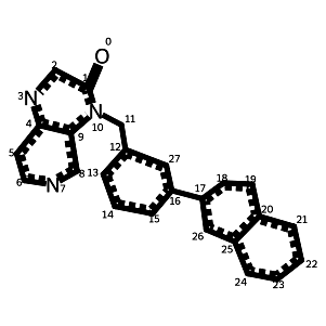 O=c1cnc2ccncc2n1Cc1cccc(-c2ccc3ccccc3c2)c1